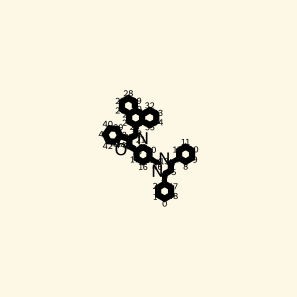 c1ccc(-c2cc(-c3ccccc3)nc(-c3ccc4c(c3)nc(-c3cc5ccccc5c5ccccc35)c3c5ccccc5oc43)n2)cc1